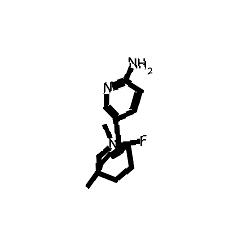 CN1CC2(C)CC=C(c3ccc(N)nc3)C1(F)CC2